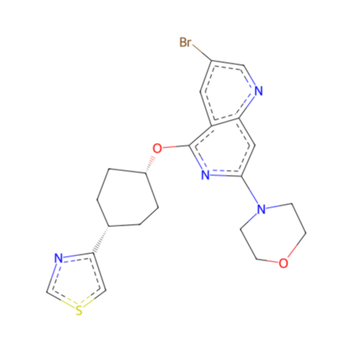 Brc1cnc2cc(N3CCOCC3)nc(O[C@H]3CC[C@@H](c4cscn4)CC3)c2c1